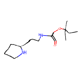 CC(C)(C)OC(=O)NCC[C@@H]1CCCN1